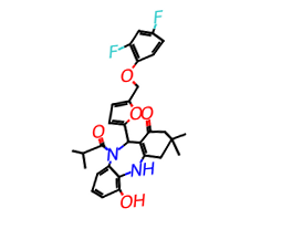 CC(C)C(=O)N1c2cccc(O)c2NC2=C(C(=O)CC(C)(C)C2)C1c1ccc(COc2ccc(F)cc2F)o1